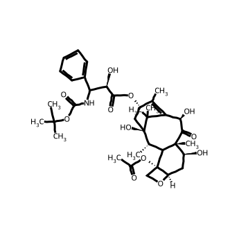 CC(=O)O[C@@]12CO[C@@H]1C[C@H](O)[C@@]1(C)C(=O)[C@H](O)C3=C(C)[C@@H](OC(=O)[C@H](O)C(NC(=O)OC(C)(C)C)c4ccccc4)C[C@@](O)([C@@H](C)C12)C3(C)C